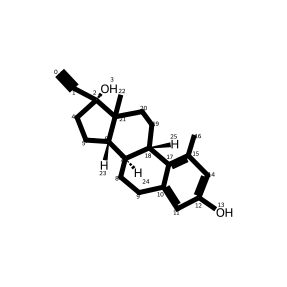 C#C[C@]1(O)CC[C@H]2[C@@H]3CCc4cc(O)cc(C)c4[C@H]3CCC21C